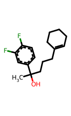 CC(O)(CCCC1=CCCCC1)c1ccc(F)c(F)c1